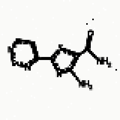 NC(=O)c1sc(-c2ccncn2)nc1N